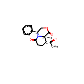 COC(=O)[C@@H]1CCC(=O)N2[C@H](c3ccccc3)COC(=O)[C@@H]12